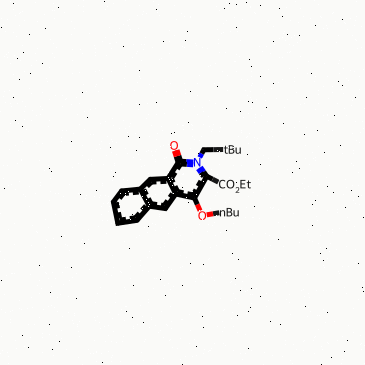 CCCCOc1c(C(=O)OCC)n(CC(C)(C)C)c(=O)c2cc3ccccc3cc12